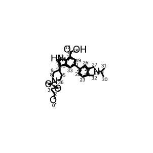 COCCS(=O)(=O)N1CCC(c2c[nH]c3c(C(=O)O)cc(-c4ccc5c(c4)CN(C(C)C)C5)cc23)CC1